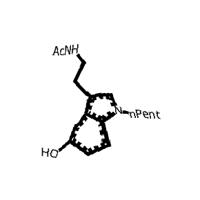 CCCCCn1cc(CCNC(C)=O)c2cc(O)ccc21